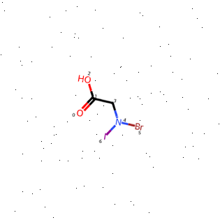 O=C(O)CN(Br)I